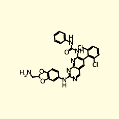 NCC1Oc2ccc(Nc3ncc4cc(-c5c(Cl)cccc5Cl)c(NC(=O)Nc5ccccc5)nc4n3)cc2O1